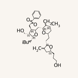 C=C1C[C@H](CCCO)O[C@H]1CCC1C[C@@H](C)C(=C)[C@@H](CC2O[C@H](C[C@H](C)CC)[C@H](CO)[C@H]2CS(=O)(=O)c2ccccc2)O1